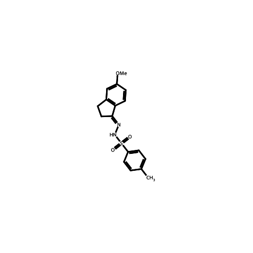 COc1ccc2c(c1)CCC2=NNS(=O)(=O)c1ccc(C)cc1